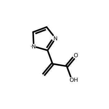 C=C(C(=O)O)C1=NC=C[N]1